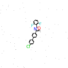 C[C@H]1OC(c2c(F)cccc2F)=N[C@@H]1c1ccc(-c2ccc(Cl)cc2)cc1